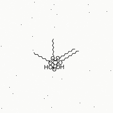 CCCCCCCCCCOc1c(O)c(C(=O)O)c(OCCCCCCCCC)c(OCCCCCCCCC)c1OCCCCCCCCC